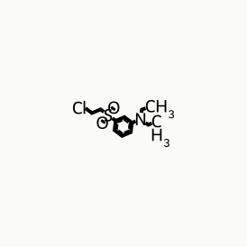 CCN(CC)c1cccc(S(=O)(=O)CCCl)c1